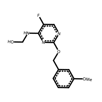 COc1cccc(COc2ncc(F)c(NCO)n2)c1